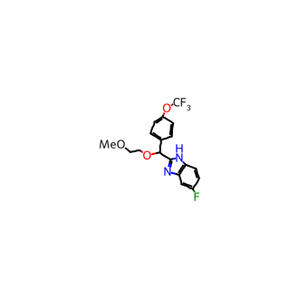 COCCOC(c1ccc(OC(F)(F)F)cc1)c1nc2cc(F)ccc2[nH]1